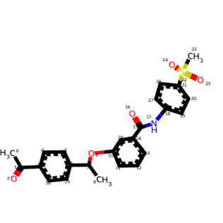 CC(=O)c1ccc(C(C)Oc2cccc(C(=O)Nc3ccc(S(C)(=O)=O)cc3)c2)cc1